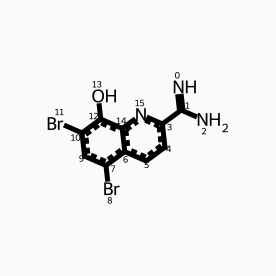 N=C(N)c1ccc2c(Br)cc(Br)c(O)c2n1